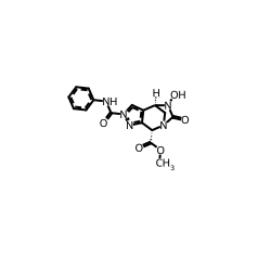 COC(=O)[C@@H]1c2nn(C(=O)Nc3ccccc3)cc2[C@@H]2CN1C(=O)N2O